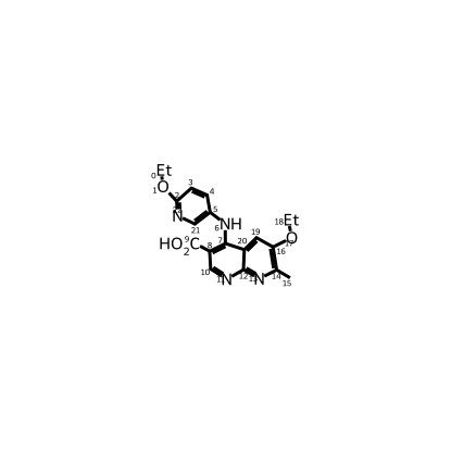 CCOc1ccc(Nc2c(C(=O)O)cnc3nc(C)c(OCC)cc23)cn1